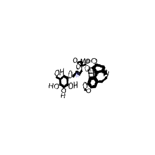 COC1=C[C@]23CCCN2CCc2cc4c(cc2[C@@H]3[C@@H]1OC(=O)[C@@]1(C/C=C/COC2CC(CO)C(O)C(O)C2O)CC(=O)O1)OCO4